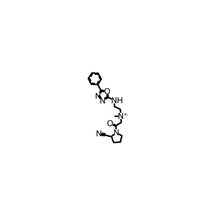 C[N+](C)(CCNc1nnc(-c2ccccc2)o1)CC(=O)N1CCCC1C#N